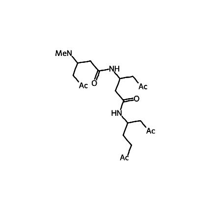 CNC(CC(C)=O)CC(=O)NC(CC(C)=O)CC(=O)NC(CCC(C)=O)CC(C)=O